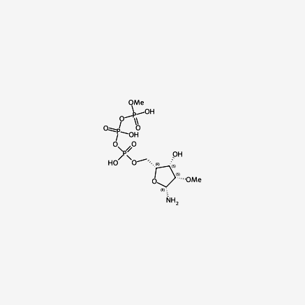 CO[C@H]1[C@@H](O)[C@@H](COP(=O)(O)OP(=O)(O)OP(=O)(O)OC)O[C@H]1N